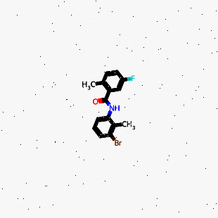 Cc1ccc(F)cc1C(=O)Nc1cccc(Br)c1C